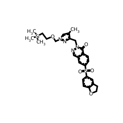 Cc1cn(COCC[Si](C)(C)C)nc1Cn1ncc2cc(S(=O)(=O)c3ccc4c(c3)CCO4)ccc2c1=O